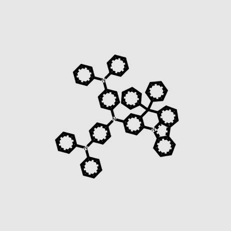 c1ccc(N(c2ccccc2)c2ccc(N(c3ccc(N(c4ccccc4)c4ccccc4)cc3)c3ccc4c(c3)C(c3ccccc3)(c3ccccc3)c3cccc5c6ccccc6n-4c35)cc2)cc1